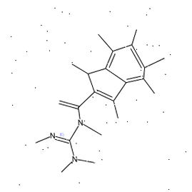 C=C(C1=C(C)c2c(C)c(C)c(C)c(C)c2C1C)N(C)/C(=N/C)N(C)C